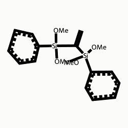 C=C([Si](OC)(OC)c1ccccc1)[Si](OC)(OC)c1ccccc1